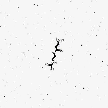 CCC(=O)NCCOC(=O)/C=C/C(=O)O